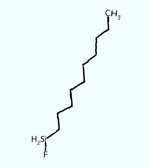 CCCCCCCCCC[SiH2]F